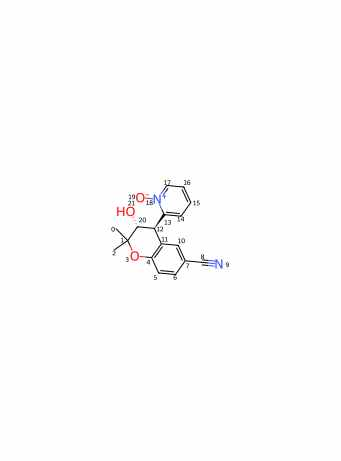 CC1(C)Oc2ccc(C#N)cc2[C@H](c2cccc[n+]2[O-])[C@H]1O